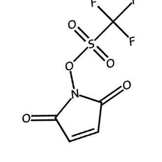 O=C1C=CC(=O)N1OS(=O)(=O)C(F)(F)F